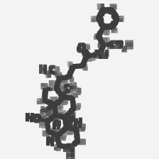 C[C@H](CCCC(=O)N[C@@H](Cc1ccccc1)C(=O)O)[C@H]1CC[C@H]2[C@@H]3[C@@H](O)C[C@@H]4CNCC[C@]4(C)[C@H]3CC[C@]12C